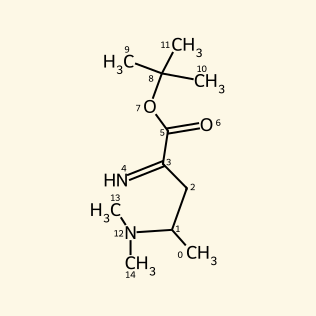 CC(CC(=N)C(=O)OC(C)(C)C)N(C)C